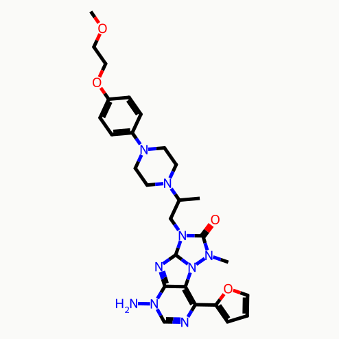 COCCOc1ccc(N2CCN(C(C)CN3C(=O)N(C)N4C5=C(c6ccco6)N=CN(N)C5=NC34)CC2)cc1